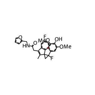 COc1cc(C2(F)CC23C(C)=C(CC(=O)NCc2ccco2)c2cc(F)ccc23)cc(OC)c1O